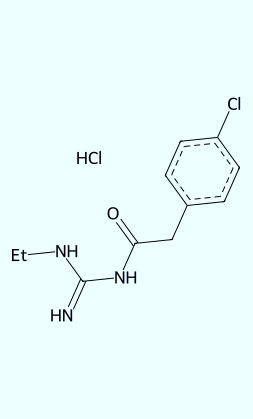 CCNC(=N)NC(=O)Cc1ccc(Cl)cc1.Cl